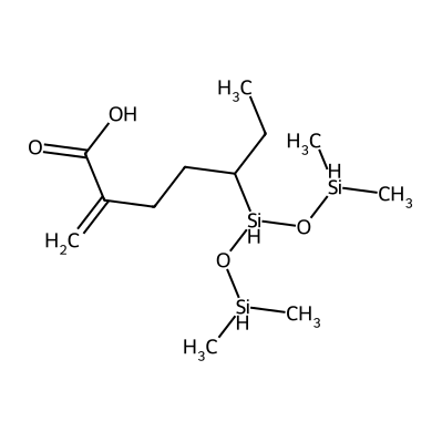 C=C(CCC(CC)[SiH](O[SiH](C)C)O[SiH](C)C)C(=O)O